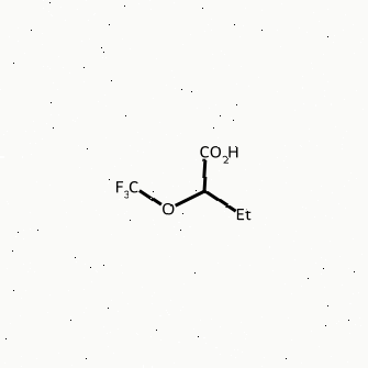 CCC(OC(F)(F)F)C(=O)O